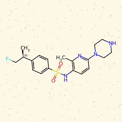 Cc1nc(N2CCNCC2)ccc1NS(=O)(=O)c1ccc([C@H](C)CF)cc1